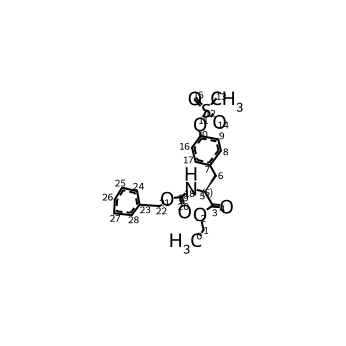 CCOC(=O)[C@H](Cc1ccc(OS(C)(=O)=O)cc1)NC(=O)OCc1ccccc1